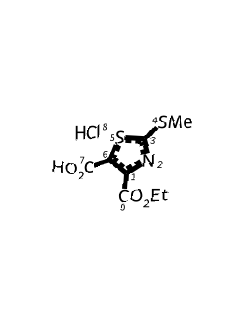 CCOC(=O)c1nc(SC)sc1C(=O)O.Cl